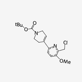 COc1ccc(C2=CCN(C(=O)OC(C)(C)C)CC2)nc1CCl